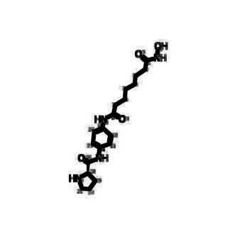 O=C(CCCCCCC(=O)Nc1ccc(NC(=O)[C@H]2CCCN2)cc1)NO